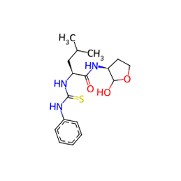 CC(C)C[C@H](NC(=S)Nc1ccccc1)C(=O)N[C@H]1CCOC1O